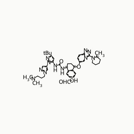 C[C@H]1CCCCN1c1nnc2ccc(O[C@@H]3CC[C@H](NC(=O)Nc4cc(C(C)(C)C)nn4-c4cnn(CCCN(C)C)c4)c4ccccc43)cn12.O=CO